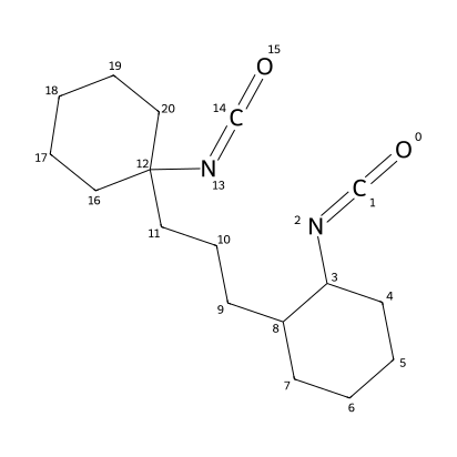 O=C=NC1CCCCC1CCCC1(N=C=O)CCCCC1